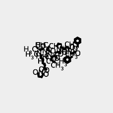 CC[C@H](C)C([C@@H](CC(=O)N1CCC[C@H]1[C@H](OC)[C@@H](C)C(=O)N[C@@H](Cc1ccccc1)C(=O)OCc1ccccc1)OC)N(C)C(=O)[C@@H](NC(=O)[C@H](C(C)C)N(C)CCCCCC(=O)ON1C(=O)CCC1=O)C(C)C